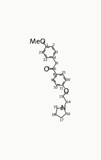 COc1ccc(CC(=O)c2ccc(OCCN3CCCC3)cc2)cc1